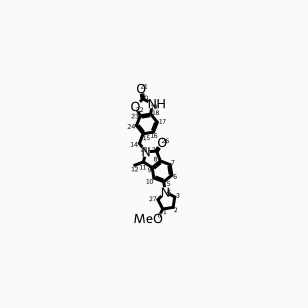 COC1CCN(c2ccc3c(c2)C(C)N(Cc2ccc4[nH]c(=O)oc4c2)C3=O)C1